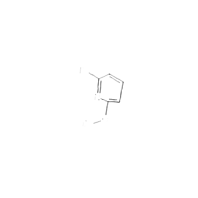 CCc1cccc(OC(C)C)n1